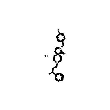 CC(CCN1CCC2(CC1)CCN(Cc1ccc(Br)cc1)C2=O)c1ccccc1.Cl